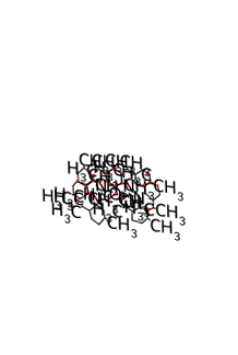 CC1CCC(C(C)C)C(N(C2CC(C)CCC2C(C)C)C(COCC(N(C2CC(C)CCC2C(C)C)C2CC(C)CCC2C(C)C)N(C2CC(C)CCC2C(C)C)C2CC(C)CCC2C(C)C)N(C2CC(C)CCC2C(C)C)C2CC(C)CCC2C(C)C)C1